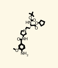 COc1cc(C(=O)NC2CCN(CC[C@H](NC(=O)OC(C)(C)C)C(=O)OC3CCCC3)C2)ccc1N